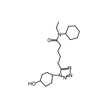 CCN(C(=O)CCCSc1nnnn1C1CCC(O)CC1)C1CCCCC1